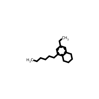 CCCCCCc1cc(CC)cc2c1CCCC2